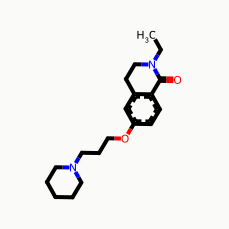 CCN1CCc2cc(OCCCN3CCCCC3)ccc2C1=O